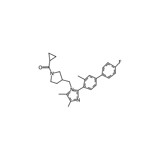 Cc1cc(-c2ccc(F)cc2)ccc1-c1nc(C)c(C)n1CC1CCN(C(=O)C2CC2)C1